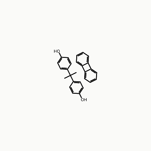 CC(C)(c1ccc(O)cc1)c1ccc(O)cc1.c1ccc2c(c1)-c1ccccc1-2